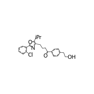 CC(C)c1oc(-c2ccccc2Cl)nc1CCCC(=O)c1ccc(CCO)cc1